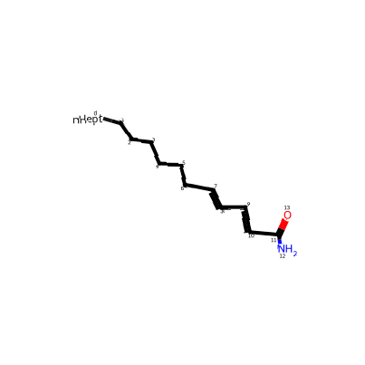 CCCCCCCCCCCCC/C=C/C=CC(N)=O